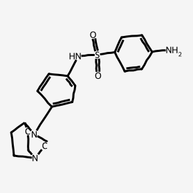 Nc1ccc(S(=O)(=O)Nc2ccc(N3CCN4CCC3CC4)cc2)cc1